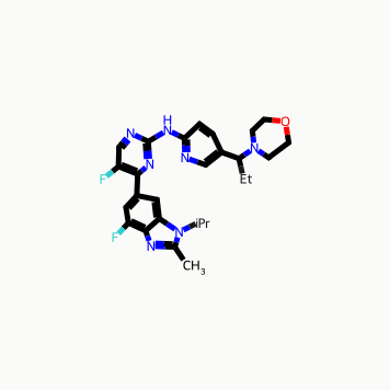 CCC(c1ccc(Nc2ncc(F)c(-c3cc(F)c4nc(C)n(C(C)C)c4c3)n2)nc1)N1CCOCC1